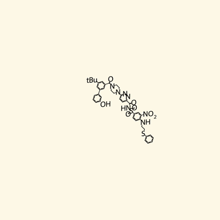 CC(C)(C)c1cc(C(=O)N2CCN(c3ccc(C(=O)NS(=O)(=O)c4ccc(NCCSc5ccccc5)c([N+](=O)[O-])c4)nn3)CC2)cc(-c2cccc(O)c2)c1